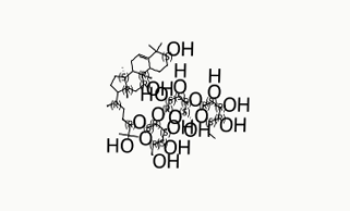 CC[C@@H]1O[C@H](O[C@@H]2[C@@H](O)[C@H](O)[C@@H](O[C@H]3[C@H](O[C@H](CC[C@@H](C)C4CC[C@@]5(C)C6CC=C7C(CC[C@H](O)C7(C)C)[C@]6(C)[C@H](O)C[C@]45C)C(C)(C)O)O[C@H](CO)[C@@H](O)[C@@H]3O)O[C@H]2CO)[C@@H](O)[C@H](O)[C@H]1O